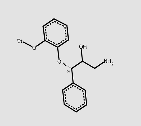 CCOc1ccccc1O[C@@H](c1ccccc1)C(O)CN